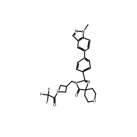 Cn1ncc2cc(-c3ccc(C4=NC5(CCOCC5)C(=O)N4CC4CN(C(=O)C(F)(F)F)C4)cc3)ccc21